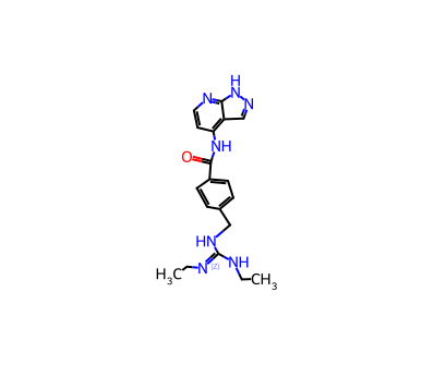 CC/N=C(/NCC)NCc1ccc(C(=O)Nc2ccnc3[nH]ncc23)cc1